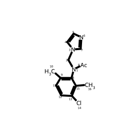 CC(=O)N(Cn1ccnc1)c1c(C)ccc(Cl)c1C